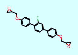 Fc1cc(-c2ccc(OCC3CO3)cc2)ccc1-c1ccc(OCC2CO2)cc1